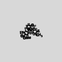 CCc1cc(C(=O)N[C@]2(c3ccc(C)c(F)c3)CCOc3cccnc32)ccc1C(=O)OC